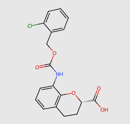 O=C(Nc1cccc2c1O[C@H](C(=O)O)CC2)OCc1ccccc1Cl